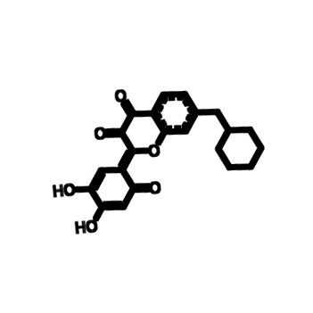 O=C1C=C(O)C(O)=C/C1=C1/Oc2cc(CC3CCCCC3)ccc2C(=O)C1=O